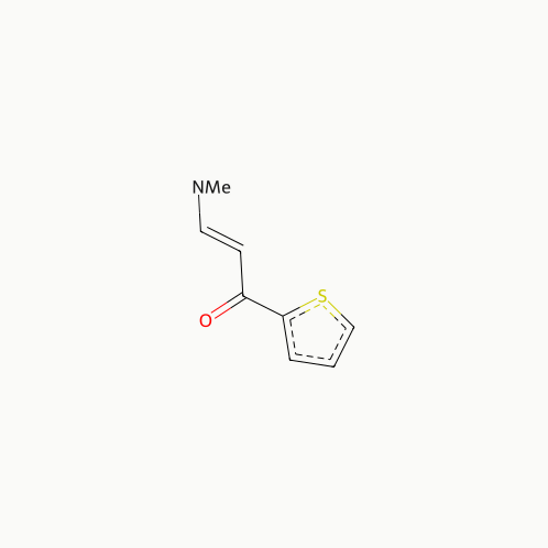 CNC=CC(=O)c1cccs1